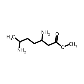 COC(=O)CC(N)CCC(C)N